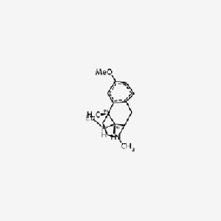 CCN[C@H]1C2Cc3ccc(OC)cc3[C@@]1(C)CCN2C